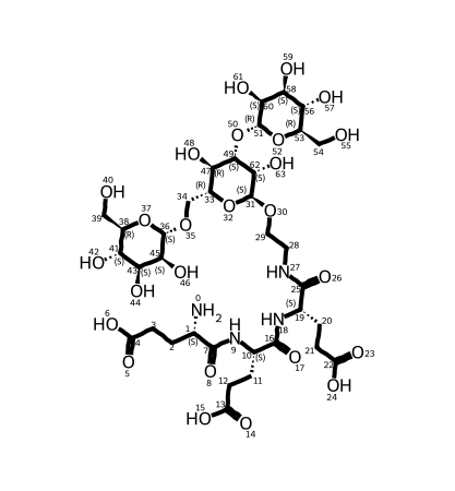 N[C@@H](CCC(=O)O)C(=O)N[C@@H](CCC(=O)O)C(=O)N[C@@H](CCC(=O)O)C(=O)NCCO[C@H]1O[C@H](CO[C@H]2O[C@H](CO)[C@@H](O)[C@H](O)[C@@H]2O)[C@@H](O)[C@H](O[C@H]2O[C@H](CO)[C@@H](O)[C@H](O)[C@@H]2O)[C@@H]1O